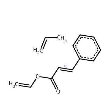 C=CC.C=COC(=O)/C=C/c1ccccc1